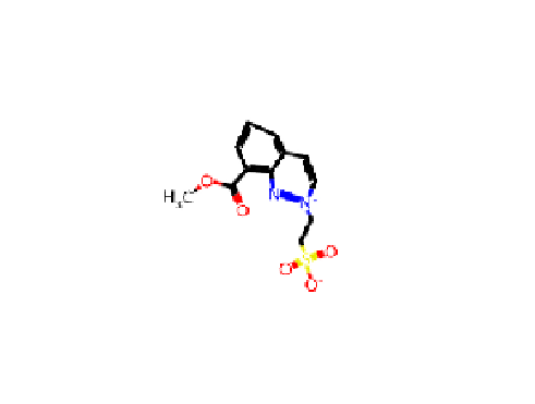 COC(=O)c1cccc2cc[n+](CCS(=O)(=O)[O-])nc12